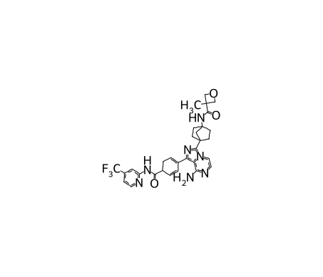 CC1(C(=O)NC23CCC(c4nc(C5=CCC(C(=O)Nc6cc(C(F)(F)F)ccn6)C=C5)c5c(N)nccn45)(CC2)C3)COC1